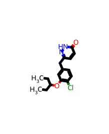 CCC(CC)Oc1cc(Cc2ccc(=O)[nH]n2)ccc1Cl